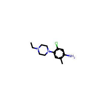 CCN1CCN(c2cc(C)c(N)cc2Cl)CC1